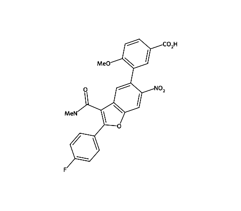 CNC(=O)c1c(-c2ccc(F)cc2)oc2cc([N+](=O)[O-])c(-c3cc(C(=O)O)ccc3OC)cc12